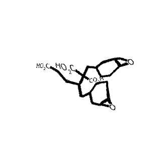 O=C(O)CCC(CC1CCC2OC2C1)C(CC1CCC2OC2C1)(C(=O)O)C(=O)O